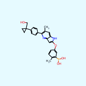 Cc1ccc(Oc2cc3nc(-c4ccc(C5(CO)CC5)cc4)c(C)cc3[nH]2)cc1P(O)O